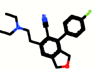 CCN(CC)CCc1cc2c(c(-c3ccc(F)cc3)c1C#N)COC2